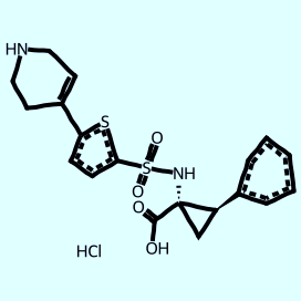 Cl.O=C(O)[C@]1(NS(=O)(=O)c2ccc(C3=CCNCC3)s2)C[C@@H]1c1ccccc1